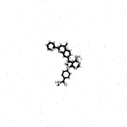 CNC(=O)C1CCC(n2nc(-c3ccc4c(C)cc(-c5ccccn5)nc4c3)c3c(N)ncnc32)CC1